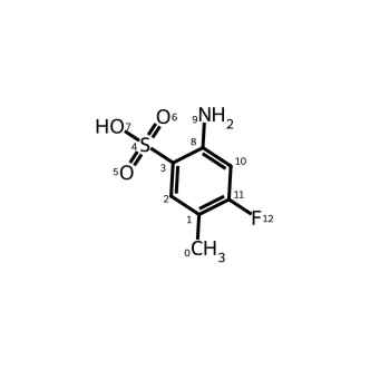 Cc1cc(S(=O)(=O)O)c(N)cc1F